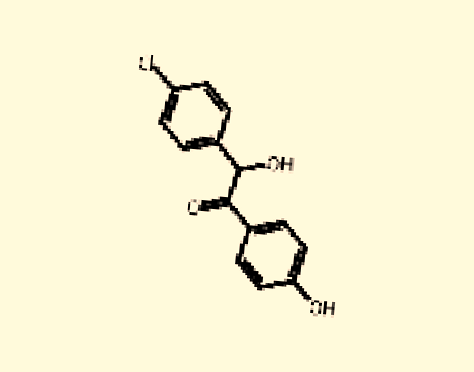 O=C(c1ccc(O)cc1)C(O)c1ccc(Cl)cc1